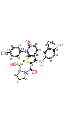 Cc1cc(Nc2c(C(=O)N3CCC[C@@H]3CO)sc3c2ccc(=O)n3-c2ccc(Cl)cc2)ccc1F